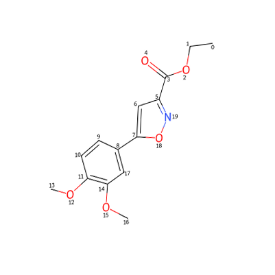 CCOC(=O)c1cc(-c2ccc(OC)c(OC)c2)on1